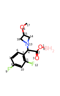 BOC(=O)C(c1ccc(F)cc1F)N1CC(OC)C1